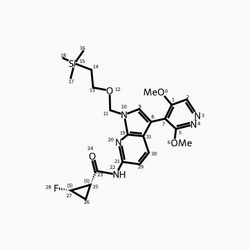 COc1cnnc(OC)c1-c1cn(COCC[Si](C)(C)C)c2nc(NC(=O)[C@@H]3C[C@@H]3F)ccc12